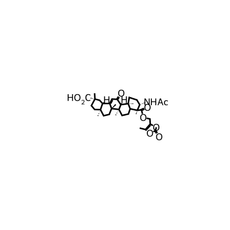 CC(=O)N[C@H]1CC[C@@]2(C)C(CC[C@]3(C)[C@@H]2C(=O)C=C2[C@@H]4C[C@@](C)(C(=O)O)CC[C@]4(C)CC[C@]23C)[C@]1(C)C(=O)OCc1oc(=O)oc1C